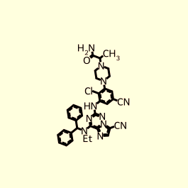 CCN(c1nc(Nc2cc(C#N)cc(N3CCN(C(C)C(N)=O)CC3)c2Cl)nn2c(C#N)cnc12)C(c1ccccc1)c1ccccc1